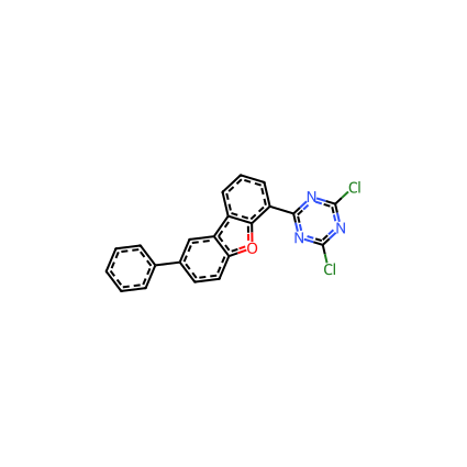 Clc1nc(Cl)nc(-c2cccc3c2oc2ccc(-c4ccccc4)cc23)n1